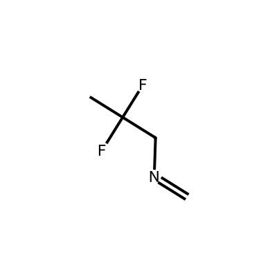 C=NCC(C)(F)F